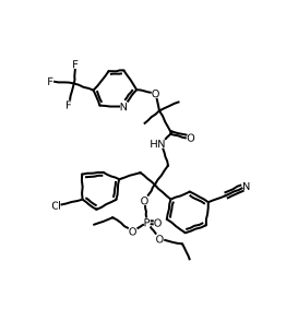 CCOP(=O)(OCC)OC(CNC(=O)C(C)(C)Oc1ccc(C(F)(F)F)cn1)(Cc1ccc(Cl)cc1)c1cccc(C#N)c1